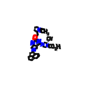 CN1CCCC1COc1nc2c(c(N3CCN(C(=O)O)[C@@H](CC#N)C3)n1)CN(C1Cc3cccc4cccc1c34)C2